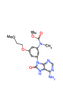 COCCOc1cc(N(C)C(=O)OC(C)(C)C)cc(-n2c(=O)[nH]c3c(N)ncnc32)c1